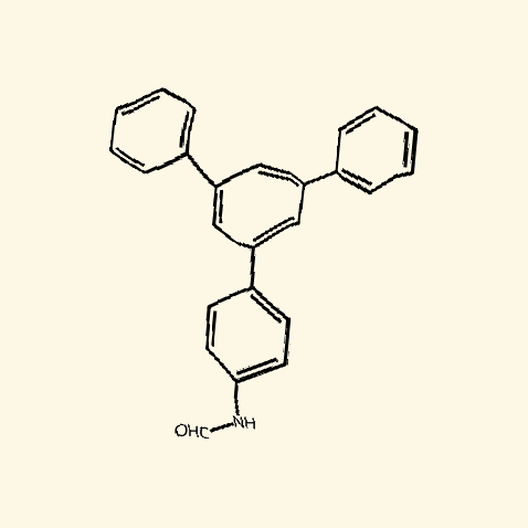 O=CNc1ccc(-c2cc(-c3ccccc3)cc(-c3ccccc3)c2)cc1